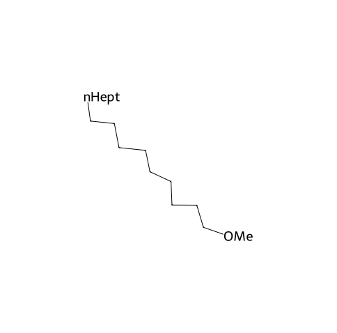 [C]OCCCCCCCCCCCCCCCC